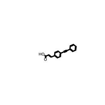 O=C(O)/C=C/c1ccc(C#Cc2ccccc2)cc1